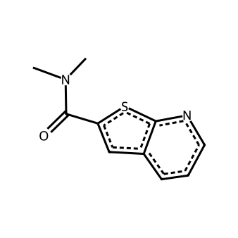 CN(C)C(=O)c1cc2cccnc2s1